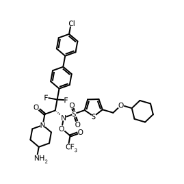 NC1CCN(C(=O)[C@@H](N(OC(=O)C(F)(F)F)S(=O)(=O)c2ccc(COC3CCCCC3)s2)C(F)(F)c2ccc(-c3ccc(Cl)cc3)cc2)CC1